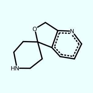 c1cnc2c(c1)C1(CCNCC1)OC2